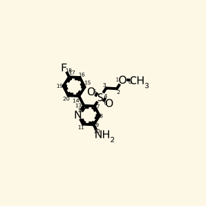 COCCS(=O)(=O)c1cc(N)cnc1-c1ccc(F)cc1